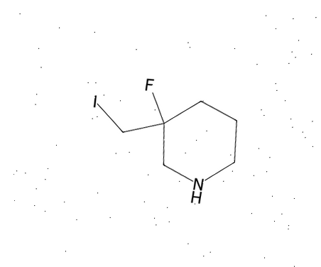 FC1(CI)CCCNC1